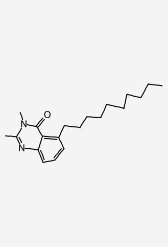 CCCCCCCCCCc1cccc2nc(C)n(C)c(=O)c12